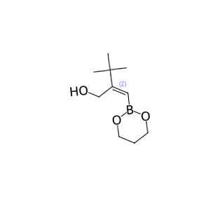 CC(C)(C)/C(=C/B1OCCCO1)CO